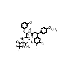 COc1ccc(C(CC(=O)N[C@@H](Cc2cccc(Cl)c2)C(=O)N[C@H](C(=O)C(F)(F)F)C(C)C)c2ccc(Cl)c(Cl)c2)cc1